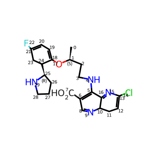 C[C@@H](CCNC1=C(C(=O)O)C=NC2CC=C(Cl)N=C12)OC1=CC=C(F)CC1[C@H]1CCCN1